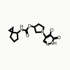 O=C(NC1CCCC12CC2)OC1CCN(c2cn[nH]c(=O)c2Cl)C1